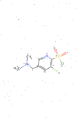 CN(C)Cc1cnc(S(=O)(=O)Cl)c(F)c1